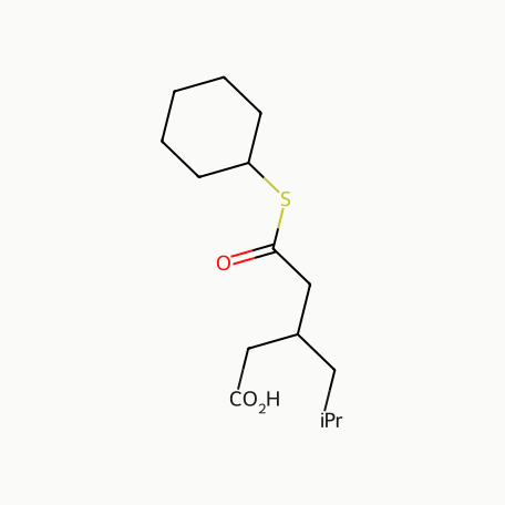 CC(C)CC(CC(=O)O)CC(=O)SC1CCCCC1